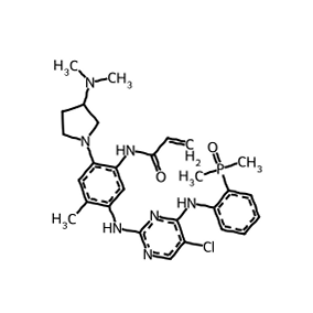 C=CC(=O)Nc1cc(Nc2ncc(Cl)c(Nc3ccccc3P(C)(C)=O)n2)c(C)cc1N1CCC(N(C)C)C1